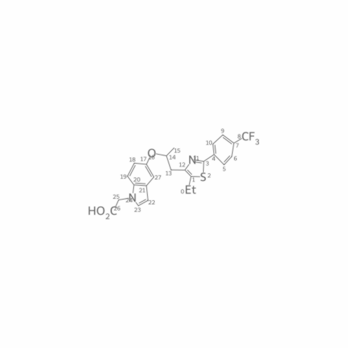 CCc1sc(-c2ccc(C(F)(F)F)cc2)nc1CC(C)Oc1ccc2c(ccn2CC(=O)O)c1